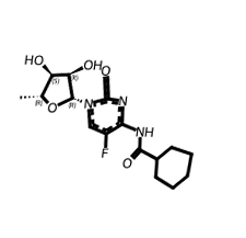 C[C@H]1O[C@@H](n2cc(F)c(NC(=O)C3CCCCC3)nc2=O)[C@H](O)[C@@H]1O